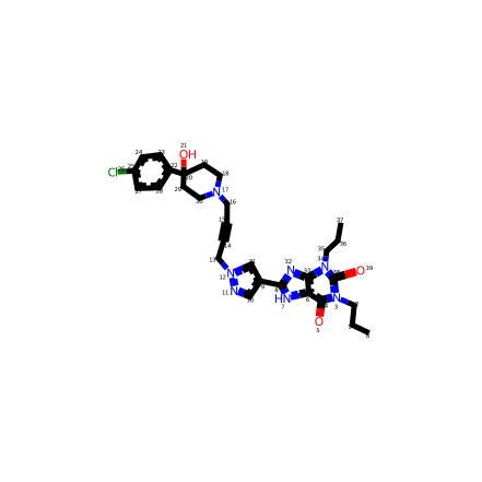 CCCn1c(=O)c2[nH]c(-c3cnn(CC#CCN4CCC(O)(c5ccc(Cl)cc5)CC4)c3)nc2n(CCC)c1=O